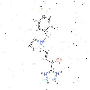 OC(C=Cc1cccn1Cc1ccc(F)cc1)c1nn[nH]n1